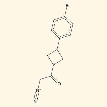 N#[N+]CC(=O)C1CC(c2ccc(Br)cc2)C1